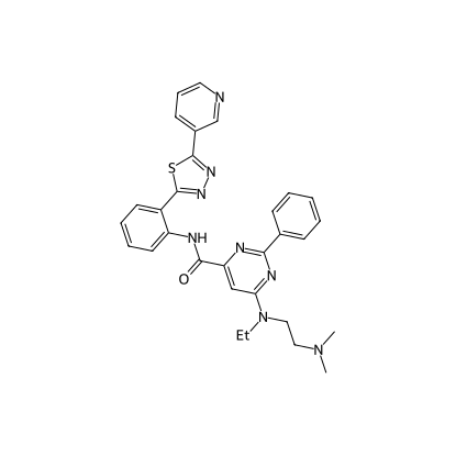 CCN(CCN(C)C)c1cc(C(=O)Nc2ccccc2-c2nnc(-c3cccnc3)s2)nc(-c2ccccc2)n1